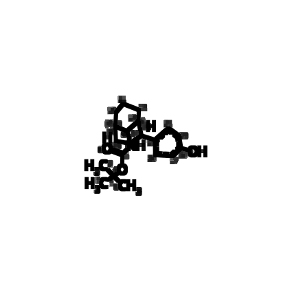 CC(C)(C)OC(=O)NC1[C@@H]2CCC[C@H]1C(c1ccc(O)cc1)CC2